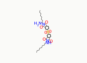 CCCCCCCCNN1C(=O)c2ccc(S(=O)(=O)c3ccc4c(c3)C(=O)N(C(N)CCCCCCC)C4=O)cc2C1=O